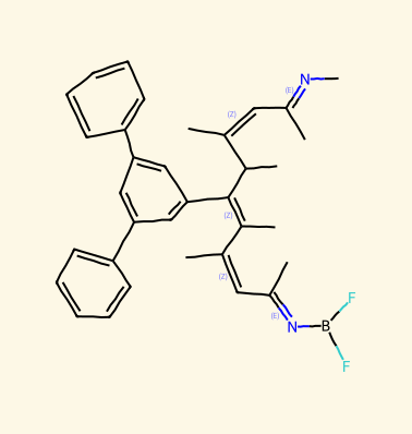 C/N=C(C)/C=C(/C)C(C)/C(=C(C)/C(C)=C\C(C)=N\B(F)F)c1cc(-c2ccccc2)cc(-c2ccccc2)c1